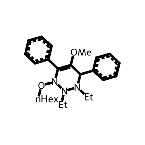 CCCCCCON1C(c2ccccc2)=C(OC)C(c2ccccc2)N(CC)N1CC